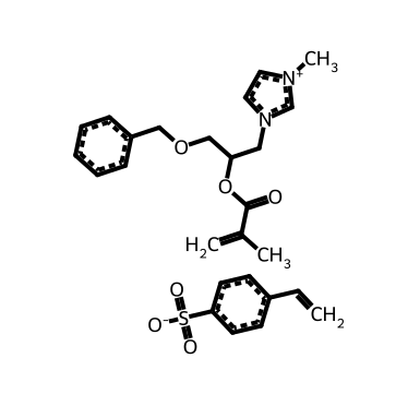 C=C(C)C(=O)OC(COCc1ccccc1)Cn1cc[n+](C)c1.C=Cc1ccc(S(=O)(=O)[O-])cc1